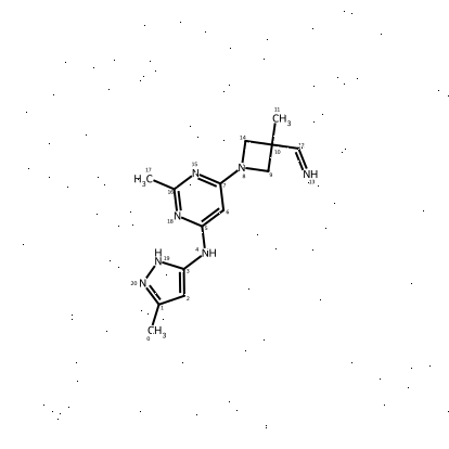 Cc1cc(Nc2cc(N3CC(C)(C=N)C3)nc(C)n2)[nH]n1